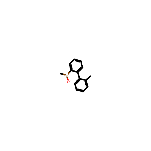 Cc1ccccc1-c1ccccc1[S+](C)[O-]